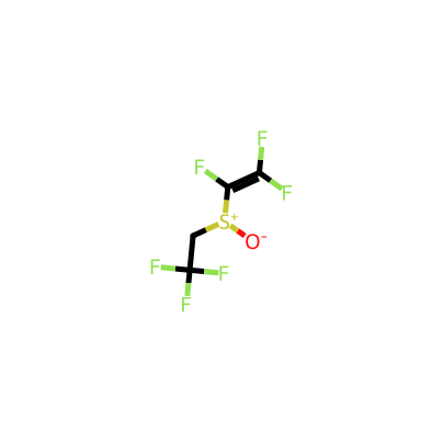 [O-][S+](CC(F)(F)F)C(F)=C(F)F